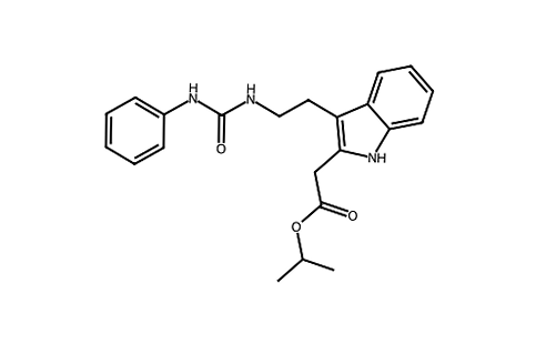 CC(C)OC(=O)Cc1[nH]c2ccccc2c1CCNC(=O)Nc1ccccc1